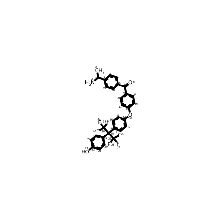 CC(N)c1ccc(C(=O)c2ccc(Oc3ccc(C(c4ccc(O)cc4)(C(F)(F)F)C(F)(F)F)cc3)cc2)cc1